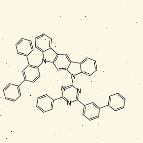 c1ccc(-c2cccc(-c3nc(-c4ccccc4)nc(-n4c5ccccc5c5cc6c7ccccc7n(-c7ccc(-c8ccccc8)cc7-c7ccccc7)c6cc54)n3)c2)cc1